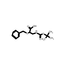 CC(C)(C)OC(=O)NCC(OCc1ccccc1)C(=O)O